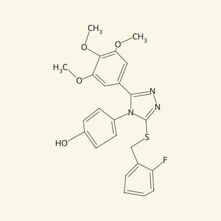 COc1cc(-c2nnc(SCc3ccccc3F)n2-c2ccc(O)cc2)cc(OC)c1OC